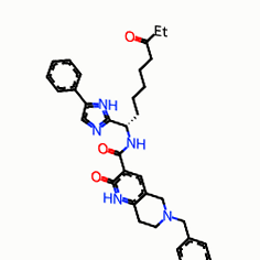 CCC(=O)CCCCC[C@H](NC(=O)c1cc2c([nH]c1=O)CCN(Cc1ccccc1)C2)c1ncc(-c2ccccc2)[nH]1